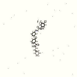 O=C(/C=C/c1cccc(Oc2ccnc(C(=O)NCCN3CCCCC3)c2)c1)Nc1ccc(Cl)c(C(F)(F)F)c1